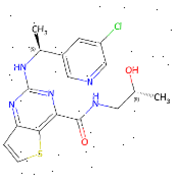 C[C@H](Nc1nc(C(=O)NC[C@@H](C)O)c2sccc2n1)c1cncc(Cl)c1